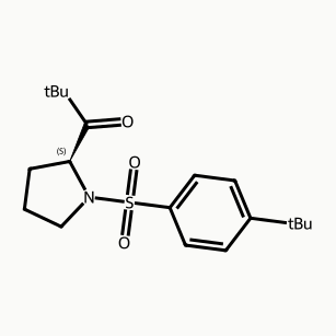 CC(C)(C)C(=O)[C@@H]1CCCN1S(=O)(=O)c1ccc(C(C)(C)C)cc1